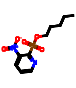 CCCCCOS(=O)(=O)c1ncccc1[N+](=O)[O-]